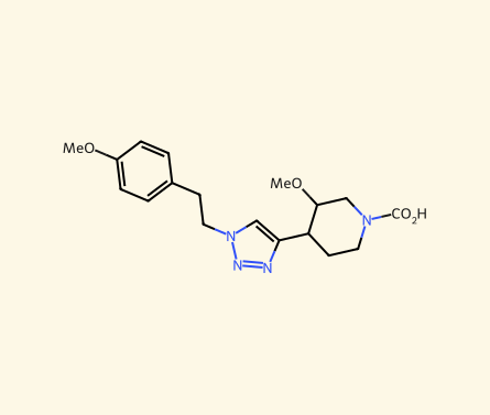 COc1ccc(CCn2cc(C3CCN(C(=O)O)CC3OC)nn2)cc1